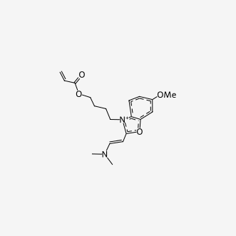 C=CC(=O)OCCCC[n+]1c(C=CN(C)C)oc2cc(OC)ccc21